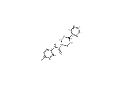 Cc1ccc(NC(=O)N2CCN(c3ccccc3)CC2)nc1